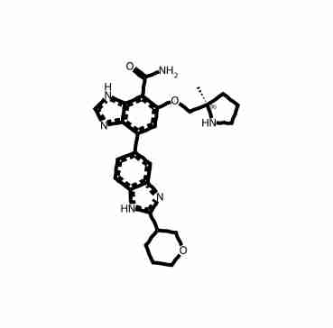 C[C@]1(COc2cc(-c3ccc4[nH]c(C5CCCOC5)nc4c3)c3nc[nH]c3c2C(N)=O)CCCN1